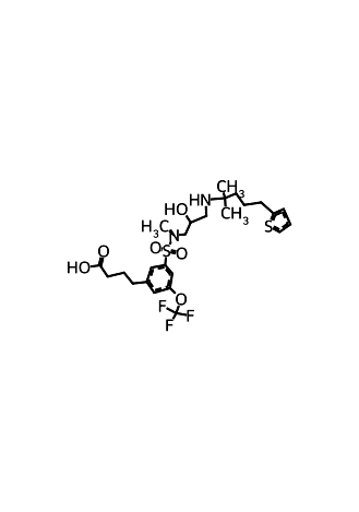 CN(CC(O)CNC(C)(C)CCCc1cccs1)S(=O)(=O)c1cc(CCCC(=O)O)cc(OC(F)(F)F)c1